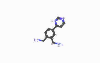 NCc1ccc(-c2ccncn2)cc1CN